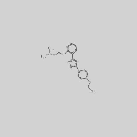 CCOc1ccc(-c2noc(-c3ccccc3OCCN(C)C)n2)cc1